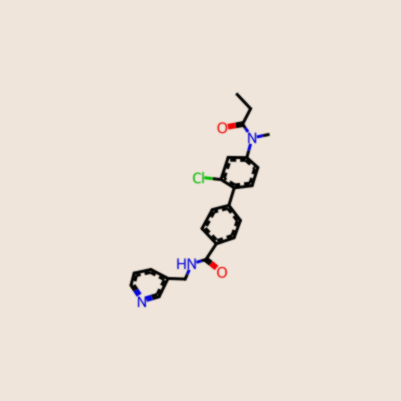 CCC(=O)N(C)c1ccc(-c2ccc(C(=O)NCc3cccnc3)cc2)c(Cl)c1